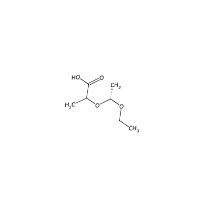 CCO[C@@H](C)OC(C)C(=O)O